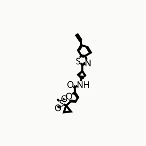 C#Cc1ccc2nc(C34CC(NC(=O)c5ccc(C6(S(C)(=O)=O)CC6)o5)(C3)C4)sc2c1